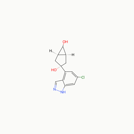 OC1[C@H]2C[C@@](O)(c3cc(Cl)cc4[nH]ncc34)C[C@@H]12